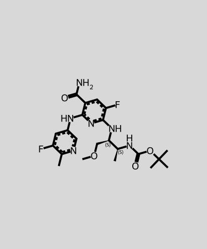 COC[C@@H](Nc1nc(Nc2cnc(C)c(F)c2)c(C(N)=O)cc1F)[C@H](C)NC(=O)OC(C)(C)C